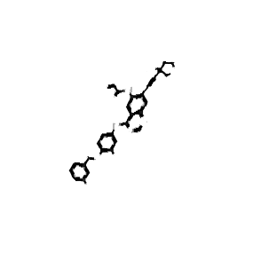 C=CC(=O)Nc1cc2c(Nc3ccc(OCc4cccc(F)c4)c(Cl)c3)ncnc2cc1C#CC1(C)CCOC1